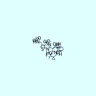 CS(=O)(=O)NCc1csc2c1S(=O)(=O)N=C(C1=C(O)[C@@H]3[C@H]4CC[C@H](C4)[C@@H]3N(CC3(C(F)(F)F)CC3)C1=O)N2